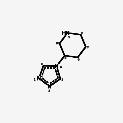 c1nncn1C1CCCNC1